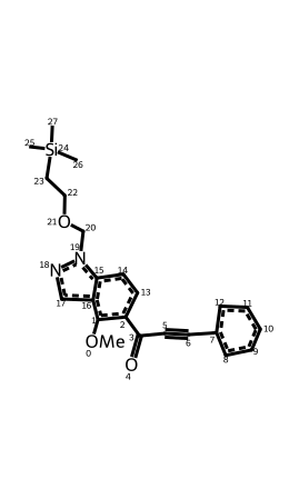 COc1c(C(=O)C#Cc2ccccc2)ccc2c1cnn2COCC[Si](C)(C)C